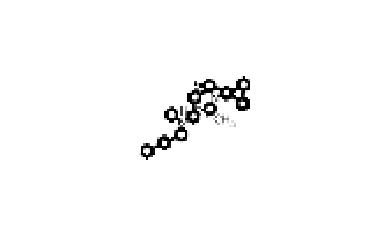 Cc1cc(C)cc(-n2c3cc4c5ccccc5c5ccccc5c4cc3c3ccc4sc5ccc(-c6cccc(N(c7ccccc7)c7cccc(-c8ccc(-c9ccccc9)cc8)c7)c6)cc5c4c32)c1